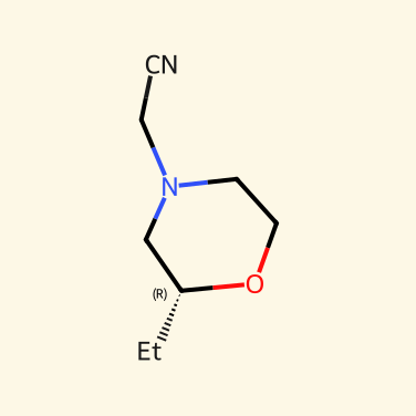 CC[C@@H]1CN(CC#N)CCO1